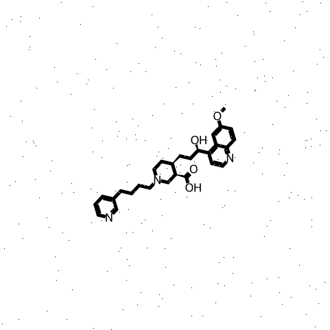 COc1ccc2nccc([C@H](O)CC[C@@H]3CCN(CCCCc4cccnc4)C[C@@H]3C(=O)O)c2c1